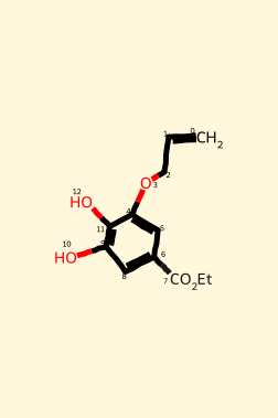 C=CCOc1cc(C(=O)OCC)cc(O)c1O